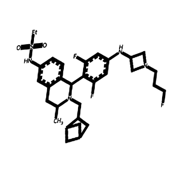 CCS(=O)(=O)Nc1ccc2c(c1)CC(C)N(CC1CC3CC1C3)C2c1c(F)cc(NC2CN(CCCF)C2)cc1F